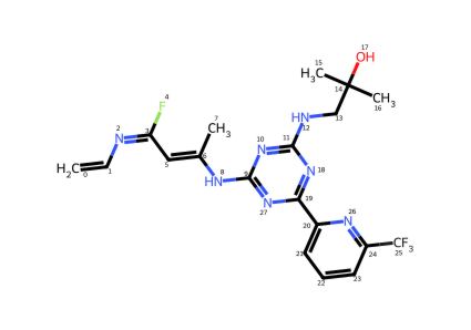 C=C/N=C(F)\C=C(/C)Nc1nc(NCC(C)(C)O)nc(-c2cccc(C(F)(F)F)n2)n1